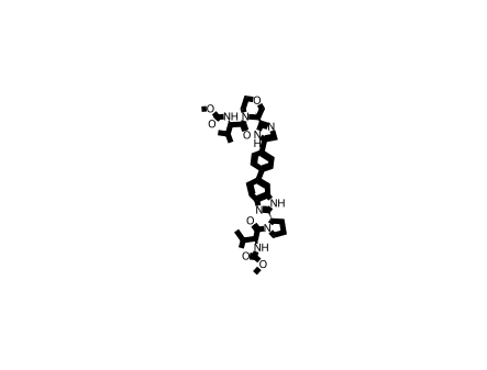 COC(=O)N[C@H](C(=O)N1CCOC[C@H]1c1ncc(-c2ccc(-c3ccc4nc([C@@H]5CCCN5C(=O)[C@@H](NC(=O)OC)C(C)C)[nH]c4c3)cc2)[nH]1)C(C)C